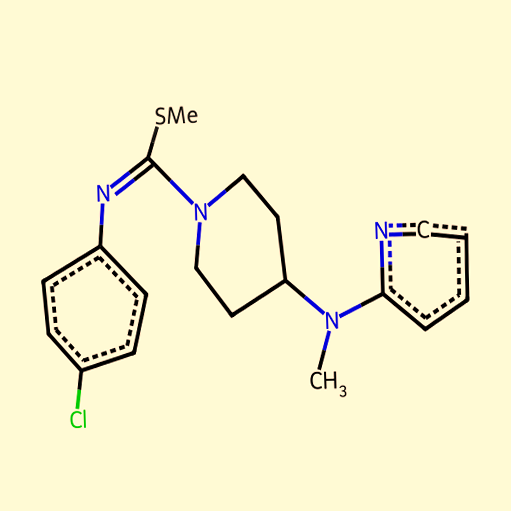 CSC(=Nc1ccc(Cl)cc1)N1CCC(N(C)c2ccccn2)CC1